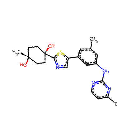 Cc1cc(Nc2nccc(C(F)(F)F)n2)cc(-c2cnc([C@]3(O)CC[C@](C)(O)CC3)s2)c1